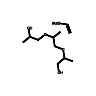 C=COC.CC(O)COC(C)COC(C)CO